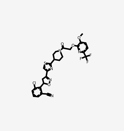 COc1ccc(C(F)(F)F)nc1OCC(=O)N1CCC(c2nc(C3=NOC(c4c(Cl)cccc4C#N)C3)cs2)CC1